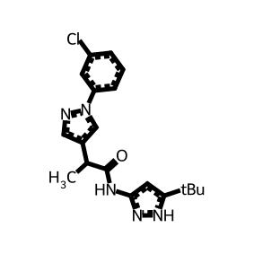 CC(C(=O)Nc1cc(C(C)(C)C)[nH]n1)c1cnn(-c2cccc(Cl)c2)c1